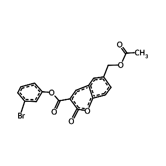 CC(=O)OCc1ccc2oc(=O)c(C(=O)Oc3cccc(Br)c3)cc2c1